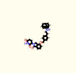 O=C1CCC(N2Cc3c(OCc4ccc(CCNC56CC7CC(CC(C7)C5)C6)cc4)cccc3C2=O)C(=O)N1